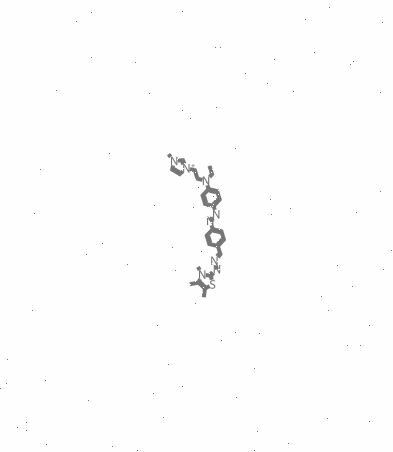 CCN(CC[n+]1ccn(C)c1)c1ccc(N=Nc2ccc(C=NN=c3sc(C)c(C)n3C)cc2)cc1